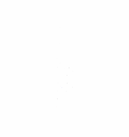 CCCCCCCCOC(CCCCCNCCCCO)O[Si](C)(C)CCCCCCCC